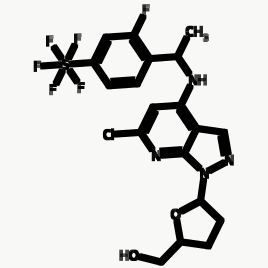 CC(Nc1cc(Cl)nc2c1cnn2C1CCC(CO)O1)c1ccc(S(F)(F)(F)(F)F)cc1F